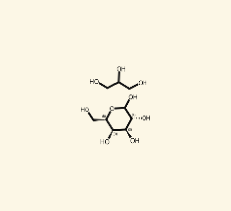 OCC(O)CO.OC[C@H]1OC(O)[C@H](O)[C@@H](O)[C@H]1O